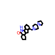 O=c1[nH]c2c(c3c1CCCC3)Cc1c(CN3CCC(N4CCCC4)CC3)cccc1-2